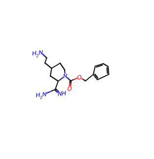 N=C(N)C1CC(CCN)CCN1C(=O)OCc1ccccc1